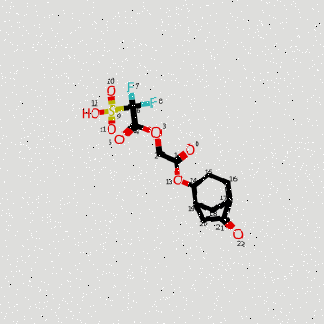 O=C(COC(=O)C(F)(F)S(=O)(=O)O)OC1CCC2CC1CC2=O